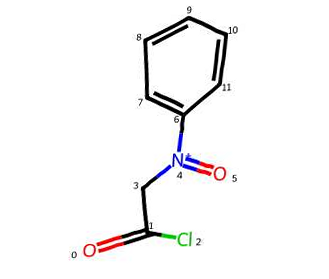 O=C(Cl)C[N+](=O)c1ccccc1